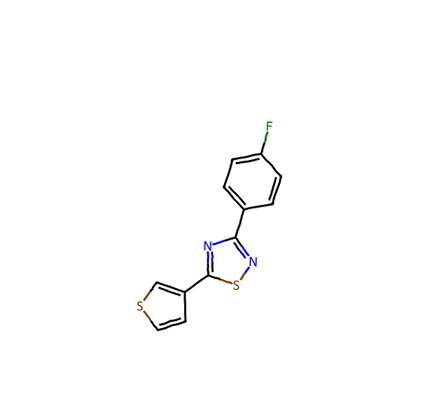 Fc1ccc(-c2nsc(-c3ccsc3)n2)cc1